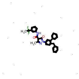 CC1=NN(c2ccc(Cc3ccccc3)c(-c3ccccc3)c2)C(=O)C1C(=O)Nc1cccc(C(C)(F)F)c1